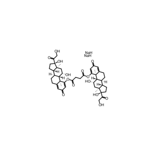 C[C@@]12C(=CC(=O)C=C1OC(=O)CCC(=O)OC1=CC(=O)C=C3CC[C@@H]4[C@H]([C@@H](O)C[C@@]5(C)[C@H]4CC[C@]5(O)C(=O)CO)[C@]31C)CC[C@@H]1[C@@H]2[C@@H](O)C[C@@]2(C)[C@H]1CC[C@]2(O)C(=O)CO.[NaH].[NaH]